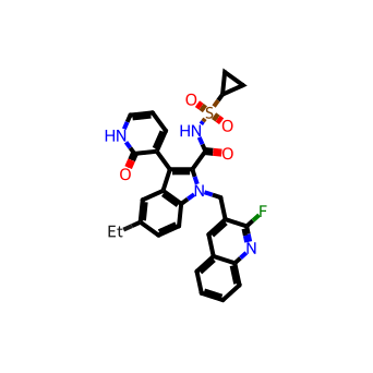 CCc1ccc2c(c1)c(-c1ccc[nH]c1=O)c(C(=O)NS(=O)(=O)C1CC1)n2Cc1cc2ccccc2nc1F